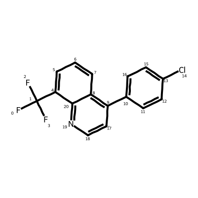 FC(F)(F)c1cccc2c(-c3ccc(Cl)cc3)[c]cnc12